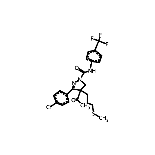 CSCCCC1(C(C)=O)CN(C(=O)Nc2ccc(C(F)(F)F)cc2)N=C1c1ccc(Cl)cc1